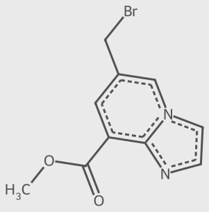 COC(=O)c1cc(CBr)cn2ccnc12